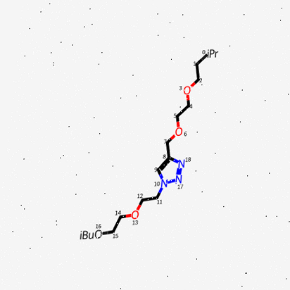 CC(C)CCOCCOCc1cn(CCOCCOCC(C)C)nn1